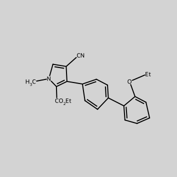 CCOC(=O)c1c(-c2ccc(-c3ccccc3OCC)cc2)c(C#N)cn1C